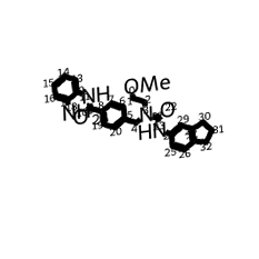 COCCN(Cc1ccc(C(=O)Nc2ccccc2N)cc1)C(=O)Nc1ccc2c(c1)CCC2